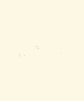 CCC(C)c1ccc(C(F)(F)F)nc1C